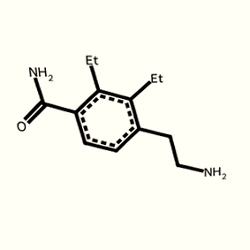 CCc1c(CCN)ccc(C(N)=O)c1CC